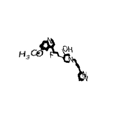 COc1ccc2nccc([C@H](F)CC[C@@H]3CCN(CC#Cc4cccnn4)C[C@@H]3CO)c2c1